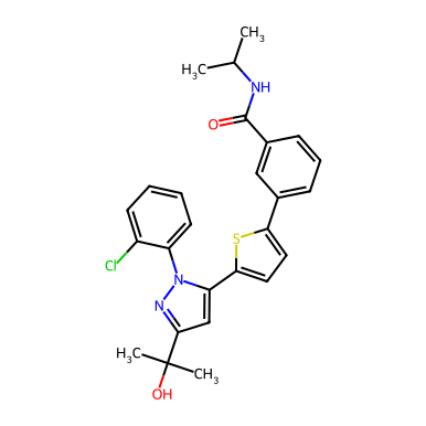 CC(C)NC(=O)c1cccc(-c2ccc(-c3cc(C(C)(C)O)nn3-c3ccccc3Cl)s2)c1